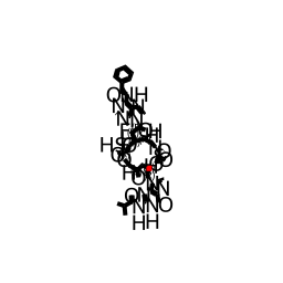 CC(C)C(=O)Nc1nc2c(ncn2[C@@H]2O[C@@H]3CO[P@@](=O)(S)O[C@H]4[C@@H](F)[C@H](n5cnc6c(NC(=O)c7ccccc7)ncnc65)O[C@@H]4CNS(=O)(=O)O[C@@H]2C3)c(=O)[nH]1